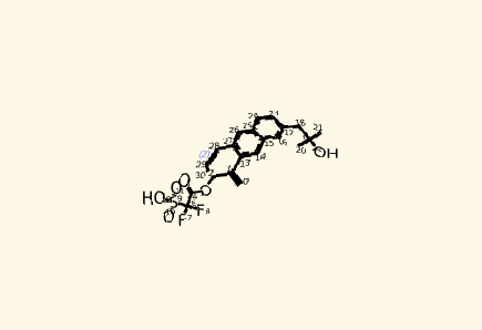 C=C(COC(=O)C(F)(F)S(=O)(=O)O)c1cc2cc(CC(C)(C)O)ccc2cc1/C=C\C